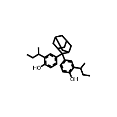 CCC(C)c1cc(C2(c3ccc(O)c(C(C)CC)c3)C3CC4CC(C3)CC2C4)ccc1O